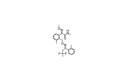 CNC(=O)/C(=N/OC)c1cccc(C)c1CO/N=C(\CC(C)(F)F)c1ccccc1C